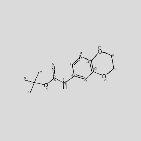 CC(C)(C)OC(=O)Nc1cnc2c(c1)OCCO2